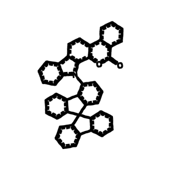 O=c1oc2c(ccc3c4ccccc4n(-c4cccc5c4-c4ccccc4C54c5ccccc5-c5ccccc54)c32)c2ccccc12